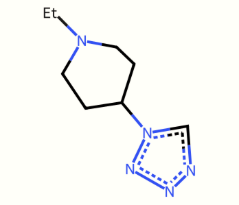 CCN1CCC(n2cnnn2)CC1